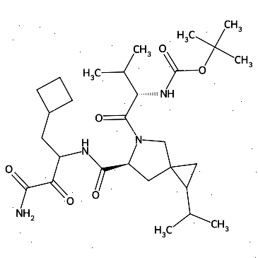 CC(C)C1CC12C[C@@H](C(=O)NC(CC1CCC1)C(=O)C(N)=O)N(C(=O)[C@@H](NC(=O)OC(C)(C)C)C(C)C)C2